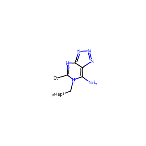 CCCCCCCCn1c(CC)nc2nnnc-2c1N